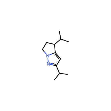 CC(C)c1cc2n(n1)CCC2C(C)C